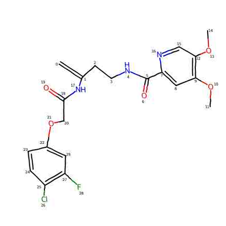 C=C(CCNC(=O)c1cc(OC)c(OC)cn1)NC(=O)COc1ccc(Cl)c(F)c1